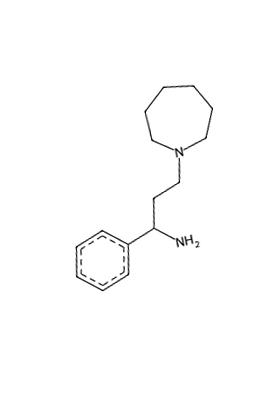 NC(CCN1CCCCCC1)c1ccccc1